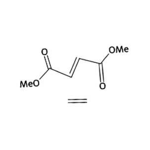 C=C.COC(=O)C=CC(=O)OC